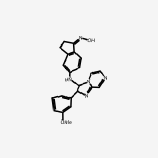 COc1cccc(C2N=C3C=NC=CN3C2Nc2ccc3c(c2)CC/C3=N/O)c1